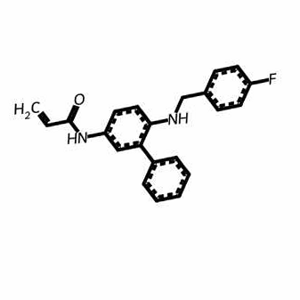 C=CC(=O)Nc1ccc(NCc2ccc(F)cc2)c(-c2ccccc2)c1